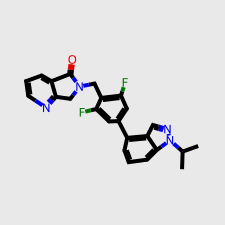 CC(C)n1ncc2c(-c3cc(F)c(CN4Cc5ncccc5C4=O)c(F)c3)cccc21